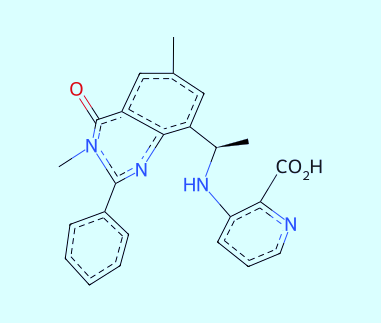 Cc1cc([C@@H](C)Nc2cccnc2C(=O)O)c2nc(-c3ccccc3)n(C)c(=O)c2c1